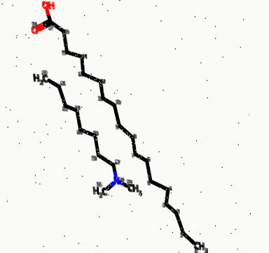 CCCCCCCCCCCCCCCCCC(=O)O.CCCCCCCCN(C)C